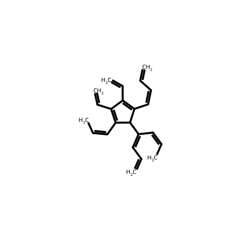 C=C/C=C\C1=C(C=C)C(C=C)=C(/C=C\C)C1C(/C=C\C)=C/C=C